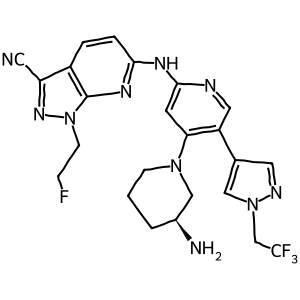 N#Cc1nn(CCF)c2nc(Nc3cc(N4CCC[C@H](N)C4)c(-c4cnn(CC(F)(F)F)c4)cn3)ccc12